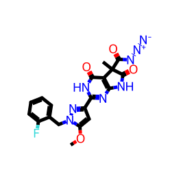 COc1cc(-c2nc3c(c(=O)[nH]2)C(C)(C(=O)N=[N+]=[N-])C(=O)N3)nn1Cc1ccccc1F